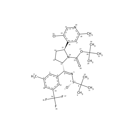 Cc1cc(/C(=N\[S@@+]([O-])C(C)(C)C)[C@@H]2CC[C@@H](c3cc(C)ncc3Cl)N2C(=O)OC(C)(C)C)cc(C(F)(F)F)c1